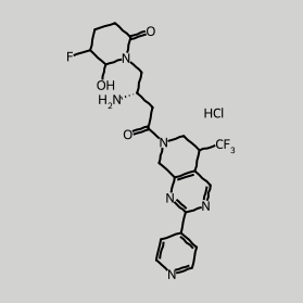 Cl.N[C@@H](CC(=O)N1Cc2nc(-c3ccncc3)ncc2C(C(F)(F)F)C1)CN1C(=O)CCC(F)C1O